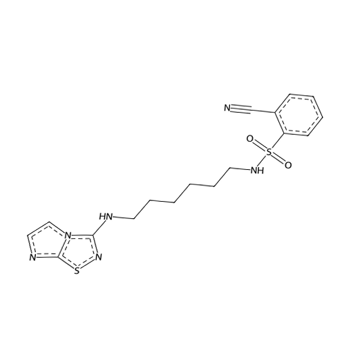 N#Cc1ccccc1S(=O)(=O)NCCCCCCNc1nsc2nccn12